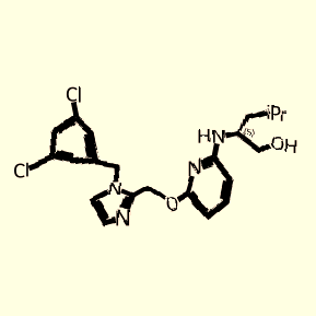 CC(C)C[C@@H](CO)Nc1cccc(OCc2nccn2Cc2cc(Cl)cc(Cl)c2)n1